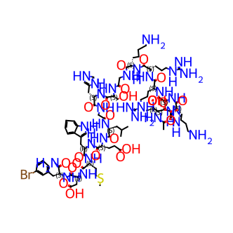 CSCC[C@H](NC(=O)[C@@H](Cc1c[nH]c2ccccc12)NC(=O)[C@H](CCC(=O)O)NC(=O)[C@H](CC(C)C)NC(=O)CNC(=O)[C@H](Cc1c[nH]cn1)NC(=O)[C@H](CO)NC(=O)CNC(=O)[C@H](CCCCN)NC(=O)[C@H](CCCNC(=N)N)NC(=O)[C@H](CCCNC(=N)N)NC(=O)[C@H](Cc1c[nH]cn1)NC(=O)[C@H](CCCCN)NC(=O)[C@@H](NC(C)=O)[C@@H](C)O)C(=O)N[C@@H](CC(=O)O)C(=O)N[C@@H](Cc1cccc(Br)c1)C(N)=O